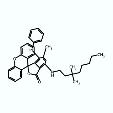 CCCCCC(C)(C)CCNc1cc(C)c(Nc2ccccc2)c2c1C(=O)OC21c2ccccc2Oc2ccccc21